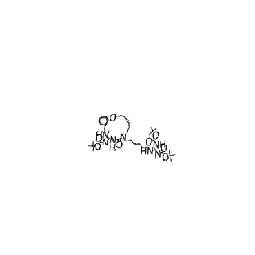 CC(C)(C)OC(=O)/N=C(/NCCCCCCN1CCCCCCOc2ccccc2CN/C(=N\C(=O)OC(C)(C)C)NC1=O)NC(=O)OC(C)(C)C